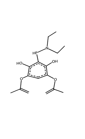 C=C(C)Oc1cc(OC(=C)C)c(O)c(PN(CC)CC)c1O